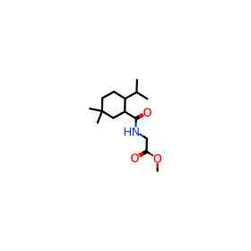 COC(=O)CNC(=O)C1CC(C)(C)CCC1C(C)C